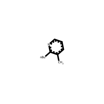 CCCCc1ncccc1C